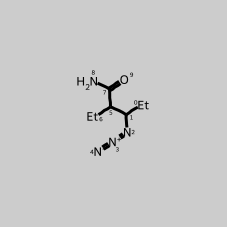 CCC(N=[N+]=[N-])C(CC)C(N)=O